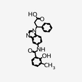 Cc1cccc(C(=O)Nc2ccc3c(c2)ncn3C(CC(=O)O)c2ccccc2)c1O